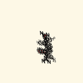 CCCOc1cc(N=C(C#N)C#N)sc1C1=Cc2sc3c(sc4c5c(sc43)C=C(c3sc(N=C(C#N)C#N)cc3OCCC)C5(C(=O)OCc3ccccc3)C(=O)OCc3ccccc3)c2C1(C(=O)OCc1ccccc1)C(=O)OCc1ccccc1